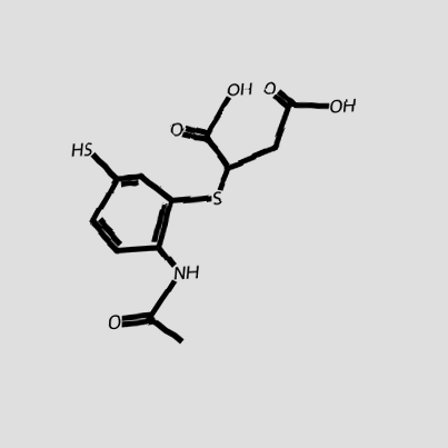 CC(=O)Nc1ccc(S)cc1SC(CC(=O)O)C(=O)O